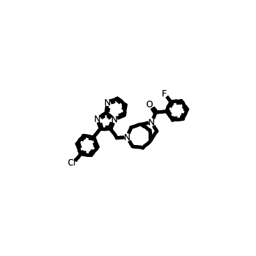 O=C(c1ccccc1F)N1CC2CCN(Cc3c(-c4ccc(Cl)cc4)nc4ncccn34)CC1C2